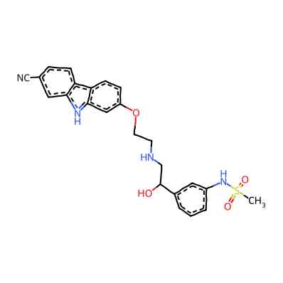 CS(=O)(=O)Nc1cccc(C(O)CNCCOc2ccc3c(c2)[nH]c2cc(C#N)ccc23)c1